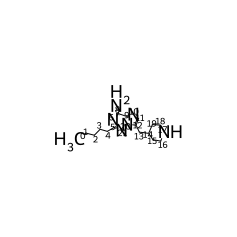 CCCCCc1nc(N)c2ncc(CC3CCNCC3)n2n1